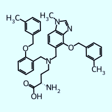 Cc1cccc(COc2ccccc2CN(CC[C@H](N)C(=O)O)Cc2ccc3c(ncn3C)c2OCc2cccc(C)c2)c1